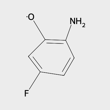 Nc1ccc(F)cc1[O]